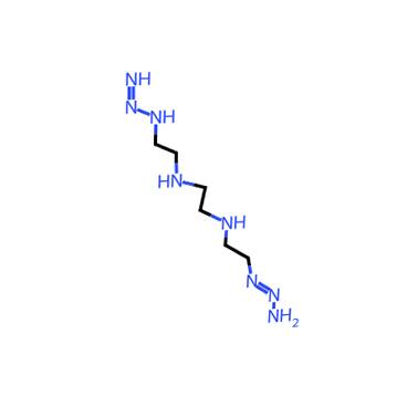 N=NNCCNCCNCCN=NN